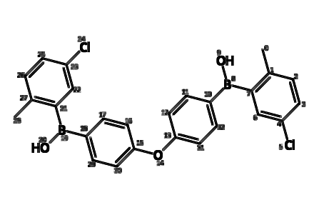 Cc1ccc(Cl)cc1B(O)c1ccc(Oc2ccc(B(O)c3cc(Cl)ccc3C)cc2)cc1